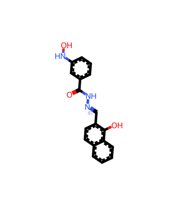 O=C(N/N=C/c1ccc2ccccc2c1O)c1cccc(NO)c1